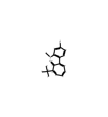 CSc1cc(F)ccc1-c1ccccc(C(C)(C)C)c1=O